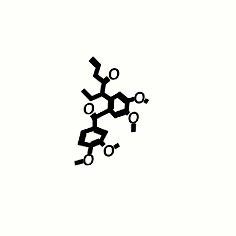 C=CCC(=O)C(CC)c1cc(OC)c(OC)cc1C(=O)c1ccc(OC)c(OC)c1